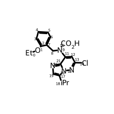 CCOc1ccccc1CN(C(=O)O)c1cc(Cl)nn2c(C(C)C)cnc12